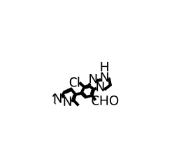 Cc1nc(N(C)C)ccc1-c1cc(C=O)c2c(nc3n2CCCN3)c1Cl